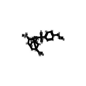 COc1ccc(S(=O)(=O)NC23CC4CC(C)(CC(C)(C4)C2)C3)cc1